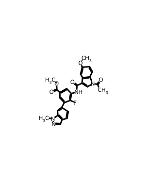 COC(=O)c1cc(NC(=O)c2cn(C(C)=O)c3ccc(OC)cc23)c(F)c(-c2ccc3cnn(C)c3c2)c1